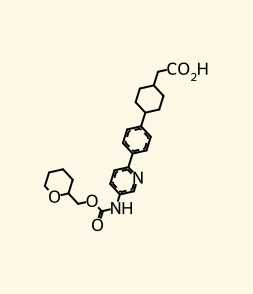 O=C(O)CC1CCC(c2ccc(-c3ccc(NC(=O)OCC4CCCCO4)cn3)cc2)CC1